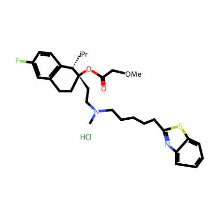 COCC(=O)O[C@]1(CCN(C)CCCCCc2nc3ccccc3s2)CCc2cc(F)ccc2[C@@H]1C(C)C.Cl